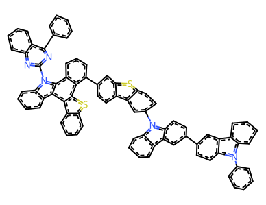 c1ccc(-c2nc(-n3c4ccccc4c4c5c6ccccc6sc5c5c(-c6ccc7c(c6)sc6ccc(-n8c9ccccc9c9cc(-c%10ccc%11c(c%10)c%10ccccc%10n%11-c%10ccccc%10)ccc98)cc67)cccc5c43)nc3ccccc23)cc1